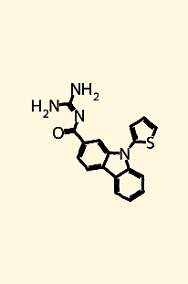 NC(N)=NC(=O)c1ccc2c3ccccc3n(-c3cccs3)c2c1